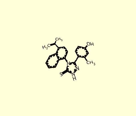 C=C(C)c1ccc(-n2c(-c3ccc(O)cc3C)n[nH]c2=S)c2ccccc12